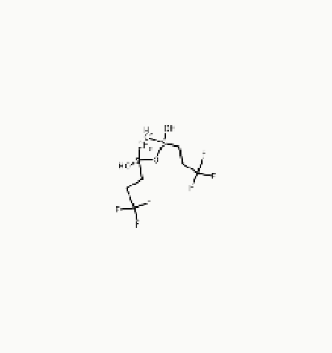 C[Si](O)(CCC(F)(F)F)O[Si](C)(O)CCC(F)(F)F